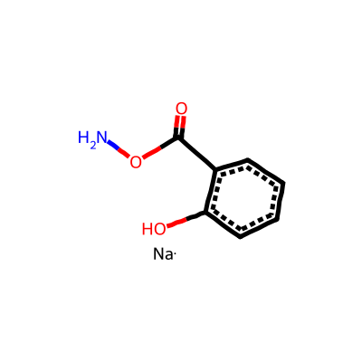 NOC(=O)c1ccccc1O.[Na]